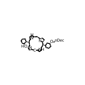 CCCCCCCCCCCOc1cccc(-c2c3nc(cc4ccc([nH]4)c(-c4ccccc4O)c4nc(cc5ccc2[nH]5)C=C4)C=C3)c1